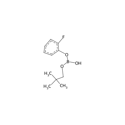 CC(C)(C)COB(O)Oc1ccccc1F